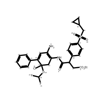 CCOC(=O)CC(C(=O)NC1=C(N)C=C(c2ccccc2)C(Cl)(OC(F)F)C1)c1ccc(S(=O)(=O)CC2CC2)cc1